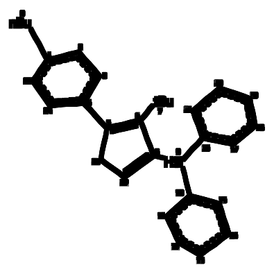 CCCCc1ccc(C2=C(C(C)(C)C)C([SiH](c3ccccc3)c3ccccc3)=CC2)cc1